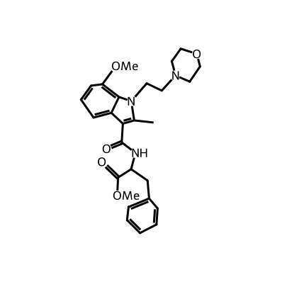 COC(=O)C(Cc1ccccc1)NC(=O)c1c(C)n(CCN2CCOCC2)c2c(OC)cccc12